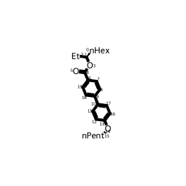 CCCCCC[C@H](CC)OC(=O)c1ccc(-c2ccc(OCCCCC)cc2)cc1